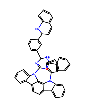 C1=CC(c2cccc(C3N=C(n4c5ccccc5c5ccc6c7ccccc7n(-c7ccccc7)c6c54)N=C(c4ccccc4)N3)c2)Nc2ccccc21